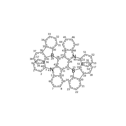 c1ccc(-n2c3ccccc3c3c(B4c5ccccc5-c5ccccc54)c4c(c(B5c6ccccc6-c6ccccc65)c32)c2ccccc2n4-c2ccccc2)cc1